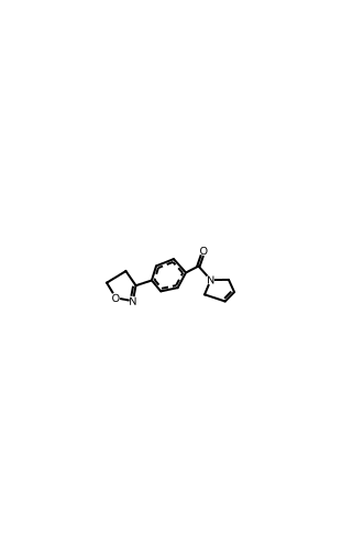 O=C(c1ccc(C2=NOCC2)cc1)N1CC=CC1